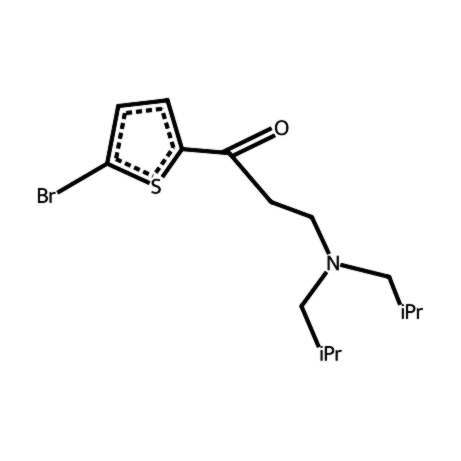 CC(C)CN(CCC(=O)c1ccc(Br)s1)CC(C)C